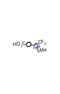 CSc1nc(-c2ccc(C(=O)O)cc2)cc(C(F)(F)F)n1